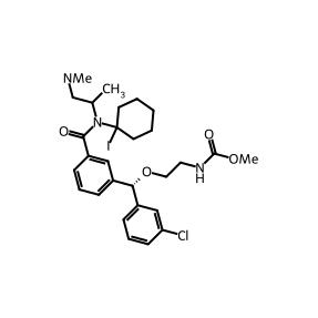 CNCC(C)N(C(=O)c1cccc([C@H](OCCNC(=O)OC)c2cccc(Cl)c2)c1)C1(I)CCCCC1